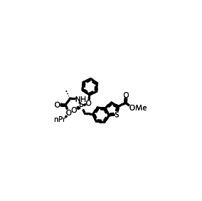 CCCOC(=O)[C@H](C)NP(=O)(Cc1ccc2sc(C(=O)OC)cc2c1)Oc1ccccc1